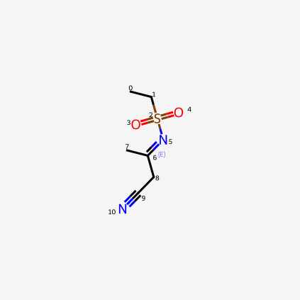 CCS(=O)(=O)/N=C(\C)CC#N